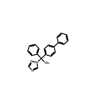 CC(C)(C)C(c1ccccc1)(c1ccc(-c2ccccc2)cc1)n1cncn1